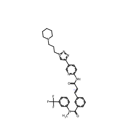 CN(C(=O)c1cccc(/C=C/C(=O)Nc2ccc(-c3cn(CCCN4CCCCC4)nn3)cn2)c1)c1cccc(C(F)(F)F)c1